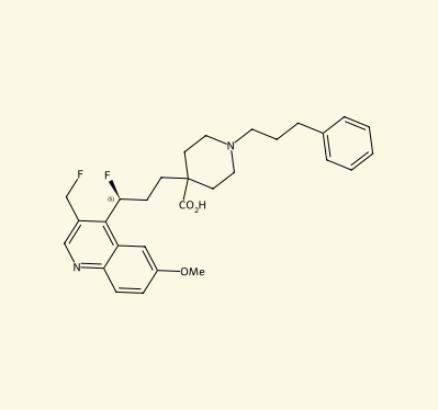 COc1ccc2ncc(CF)c([C@@H](F)CCC3(C(=O)O)CCN(CCCc4ccccc4)CC3)c2c1